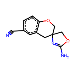 N#Cc1ccc2c(c1)CC1(COC(N)=N1)CO2